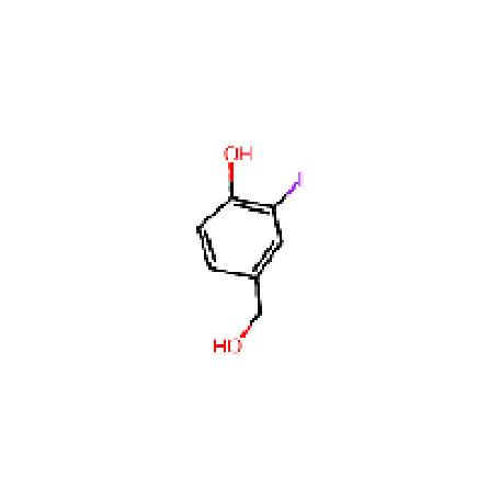 OCc1ccc(O)c(I)c1